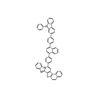 c1ccc(-n2c3ccccc3c3ccc(-c4ccc(-c5ccc(-c6ccc(-c7cc8c(sc9ccc%10ccccc%10c98)c8nc9ccccc9n78)cc6)c6ccccc56)cc4)cc32)cc1